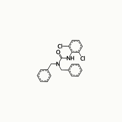 O=C(Nc1c(Cl)cccc1Cl)N(Cc1ccccc1)Cc1ccccc1